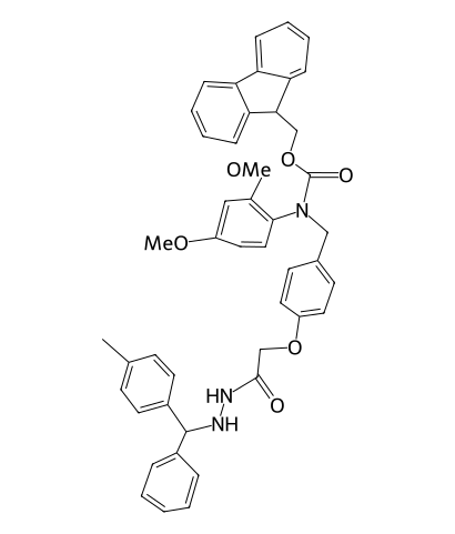 COc1ccc(N(Cc2ccc(OCC(=O)NNC(c3ccccc3)c3ccc(C)cc3)cc2)C(=O)OCC2c3ccccc3-c3ccccc32)c(OC)c1